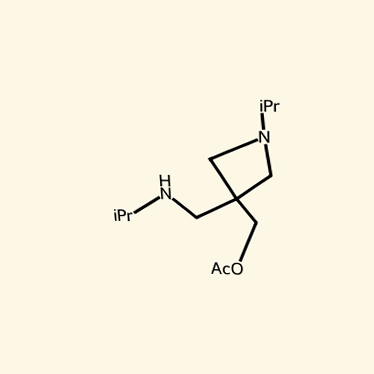 CC(=O)OCC1(CNC(C)C)CN(C(C)C)C1